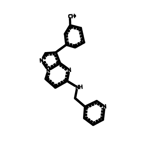 [CH]c1cccc(-c2cnn3ccc(NCc4cccnc4)nc23)c1